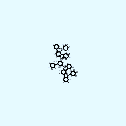 C1=CCC(n2c3ccccc3c3ccc4c(c5ccccc5n4-c4cc(-c5ccccc5)cc(-n5c6ccccc6c6c5ccc5c7ccccc7n(-c7ccccc7)c56)c4)c32)C=C1